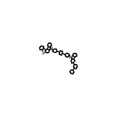 c1ccc(-c2cccc(-c3ccc4c(c3)c3ccccc3n4-c3ccc(-c4ccc(-c5ccc(-n6c7ccccc7c7c8c(ccc76)sc6ccccc68)cc5)cc4)cc3)c2)cc1